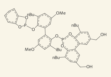 CCCCc1cc(OC)cc(-c2cc(OC)cc(C(C)CC)c2Op2oc3c(CCCC)cc(CO)cc3c3cc(CO)cc(CCCC)c3o2)c1OP1Oc2ccccc2O1